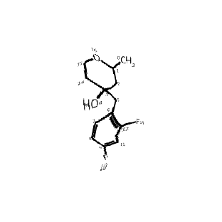 CC1CC(O)(Cc2ccc(F)cc2F)CCO1